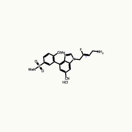 CNS(=O)(=O)c1ccc(OC)c(-c2cc(C#N)cc3c2ncn3C/C(F)=C/CN)c1.Cl